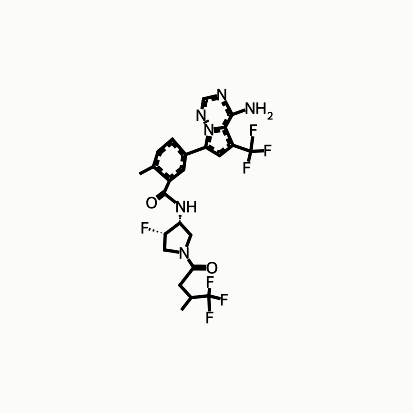 Cc1ccc(-c2cc(C(F)(F)F)c3c(N)ncnn23)cc1C(=O)N[C@@H]1CN(C(=O)CC(C)C(F)(F)F)C[C@@H]1F